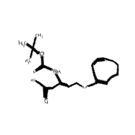 CC(C)(C)OC(=O)NC(CCOC1C=CCCC1)C(=O)O